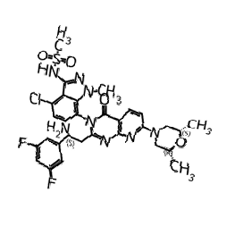 C[C@@H]1CN(c2ccc3c(=O)n(-c4ccc(Cl)c5c(NS(C)(=O)=O)nn(C)c45)c(C[C@H](N)c4cc(F)cc(F)c4)nc3n2)C[C@H](C)O1